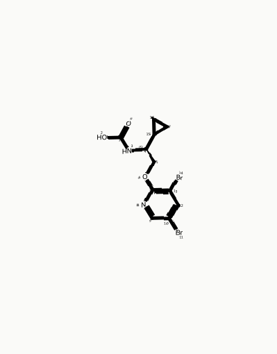 O=C(O)N[C@H](COc1ncc(Br)cc1Br)C1CC1